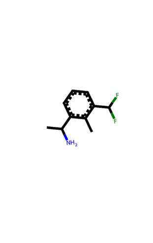 Cc1c(C(C)N)cccc1C(F)F